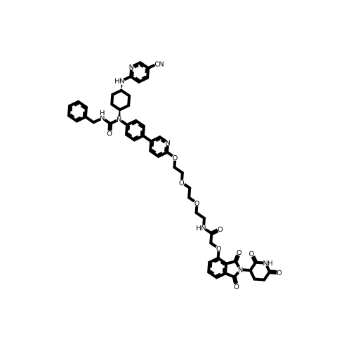 N#Cc1ccc(N[C@H]2CC[C@H](N(C(=O)NCc3ccccc3)c3ccc(-c4ccc(OCCOCCOCCNC(=O)COc5cccc6c5C(=O)N(C5CCC(=O)NC5=O)C6=O)nc4)cc3)CC2)nc1